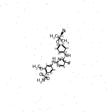 COc1cc(Nc2ncc(F)c(Nc3ccc(OC(C)(C)C#N)cc3)n2)ccc1S(N)(=O)=O